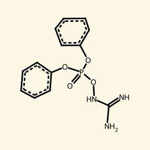 N=C(N)NOP(=O)(Oc1ccccc1)Oc1ccccc1